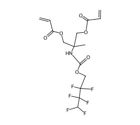 C=CC(=O)OCC(C)(COC(=O)C=C)NC(=O)OCC(F)(F)C(F)(F)C(F)F